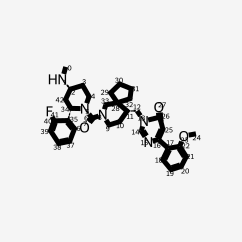 CN[C@@H]1CCN(C(=O)N2CC[C@@H](Cn3cnc(-c4ccccc4OC)cc3=O)C3(CCCC3)C2)[C@H](c2ccccc2F)C1